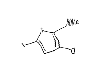 CNc1sc(I)cc1Cl